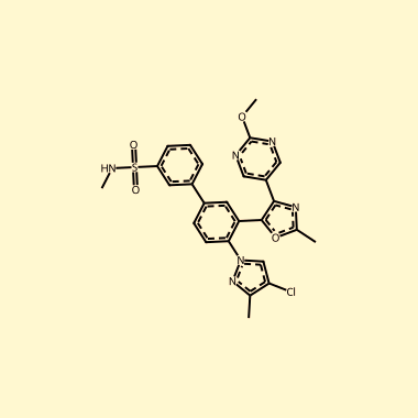 CNS(=O)(=O)c1cccc(-c2ccc(-n3cc(Cl)c(C)n3)c(-c3oc(C)nc3-c3cnc(OC)nc3)c2)c1